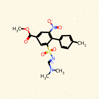 COC(=O)c1cc([N+](=O)[O-])c(-c2ccc(C)cc2)c(S(=O)(=O)/N=C/N(C)C)c1